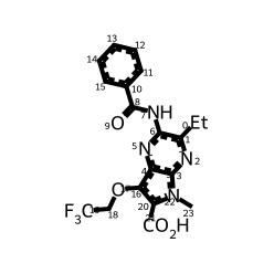 CCc1nc2c(nc1NC(=O)c1ccccc1)c(OCC(F)(F)F)c(C(=O)O)n2C